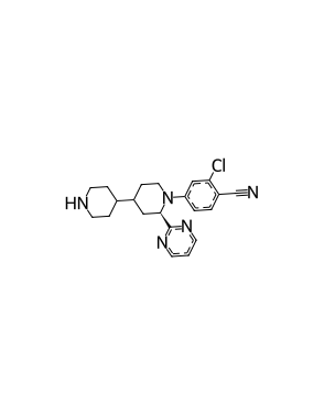 N#Cc1ccc(N2CCC(C3CCNCC3)C[C@@H]2c2ncccn2)cc1Cl